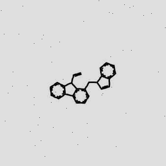 C=CC1c2ccccc2-c2cccc(CC3C=Cc4ccccc43)c21